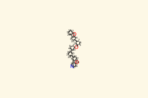 c1cc(Oc2cccc(-c3ccc4c(c3)oc3ccccc34)c2)cc(-c2cccc(-c3ccc4oc5ccncc5c4c3)c2)c1